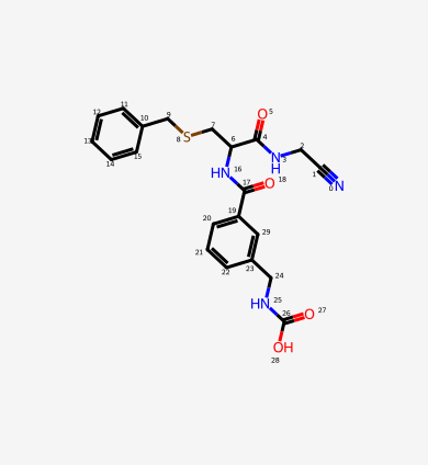 N#CCNC(=O)C(CSCc1ccccc1)NC(=O)c1cccc(CNC(=O)O)c1